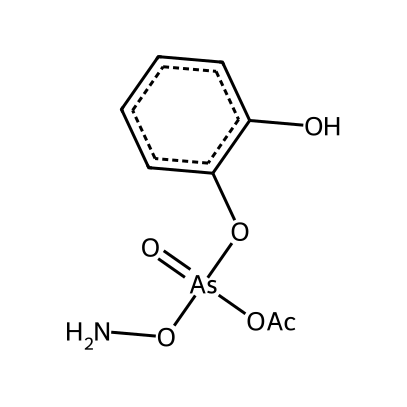 CC(=O)O[As](=O)(ON)Oc1ccccc1O